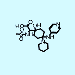 CS(=O)(=O)NC(C(=O)O)C1(O)CCC(Nc2ccncc2)(N2CCCCC2)CC1